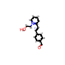 O=Cc1ccc(/C=C/c2cccc[n+]2CCO)cc1